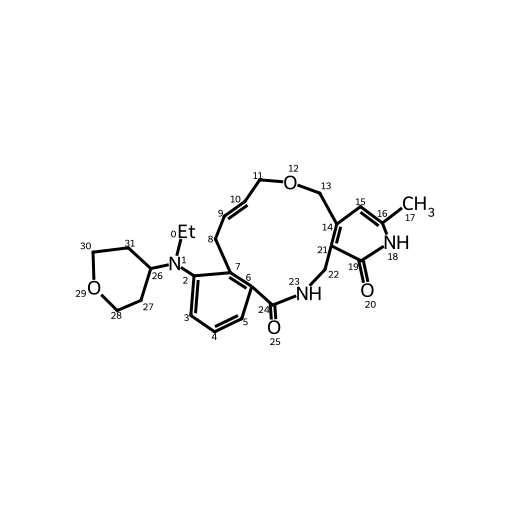 CCN(c1cccc2c1C/C=C/COCc1cc(C)[nH]c(=O)c1CNC2=O)C1CCOCC1